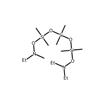 CCN(C)O[Si](C)(C)O[Si](C)(C)O[Si](C)(C)ON(CC)CC